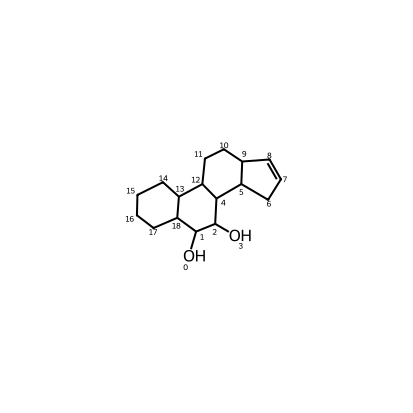 OC1C(O)C2C3CC=CC3CCC2C2CCCCC12